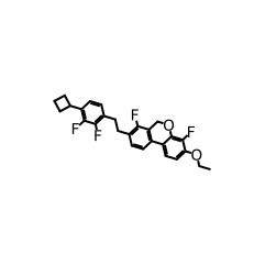 CCOc1ccc2c(c1F)OCc1c-2ccc(CCc2ccc(C3CCC3)c(F)c2F)c1F